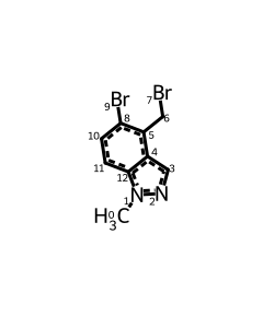 Cn1ncc2c(CBr)c(Br)ccc21